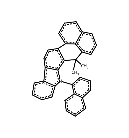 CC1(C)c2cccc3cccc(c23)-c2ccc3c4ccccc4n(-c4cccc5ccccc45)c3c21